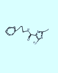 O=C(NCCc1ccccc1)c1sc(I)nc1C(F)(F)F